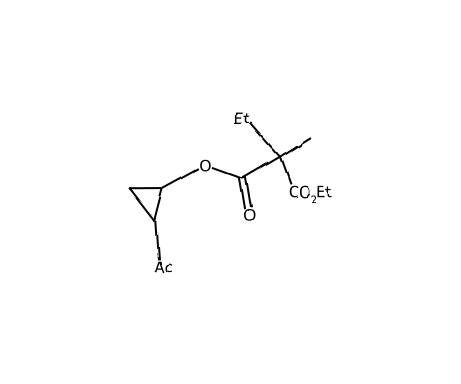 CCOC(=O)C(C)(CC)C(=O)OC1CC1C(C)=O